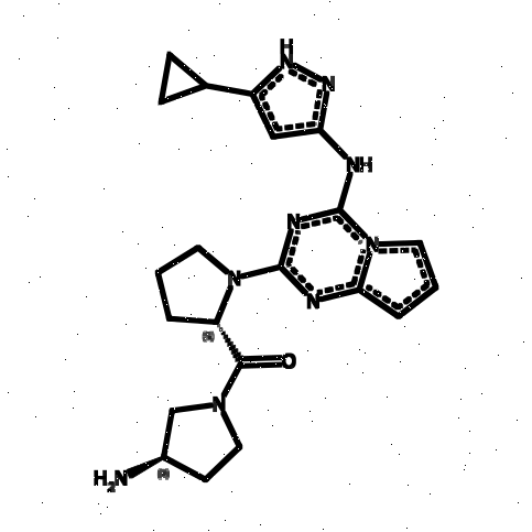 N[C@@H]1CCN(C(=O)[C@@H]2CCCN2c2nc(Nc3cc(C4CC4)[nH]n3)n3cccc3n2)C1